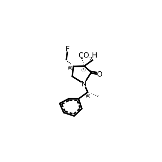 C[C@H](c1ccccc1)N1C[C@H](CF)[C@](C)(C(=O)O)C1=O